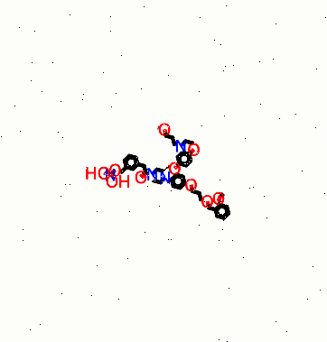 COCCCN1CCOc2ccc(OC[C@H]3CN(C(=O)Cc4cccc(CON(O)O)c4)CCN3c3ccc(OCCCOCc4ccccc4OC)cc3)cc21